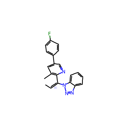 C/C=C(\c1ncc(-c2ccc(F)cc2)cc1C)n1nnc2ccccc21